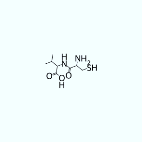 CC(C)C(NC(=O)C(N)CS)C(=O)O